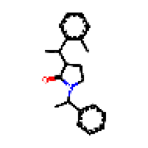 Cc1ccccc1C(C)C1CCN(C(C)c2ccccc2)C1=O